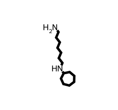 NCCCCCCCNC1CCCCCC1